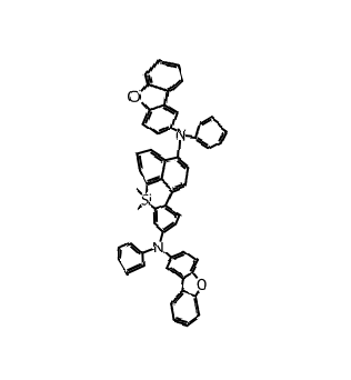 C[Si]1(C)c2cc(N(c3ccccc3)c3ccc4oc5ccccc5c4c3)ccc2-c2ccc(N(c3ccccc3)c3ccc4oc5ccccc5c4c3)c3cccc1c23